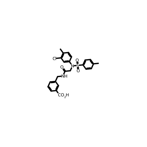 Cc1ccc(S(=O)(=O)N(CC(=O)NCc2cccc(C(=O)O)c2)c2ccc(C)c(Cl)c2)cc1